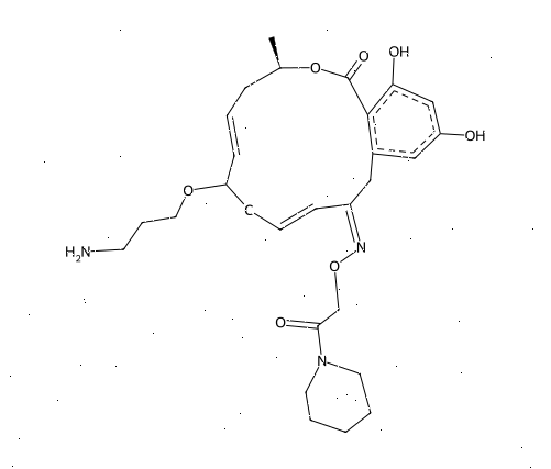 C[C@@H]1C/C=C/C(OCCCN)C/C=C/C(=N\OCC(=O)N2CCCCC2)Cc2cc(O)cc(O)c2C(=O)O1